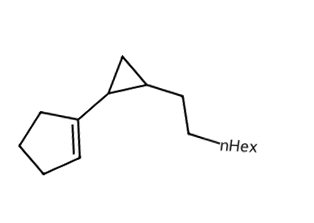 CCCCCCCCC1CC1C1=CCCC1